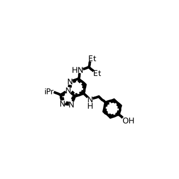 CCC(CC)Nc1cc(NCc2ccc(O)cc2)c2nnc(C(C)C)n2n1